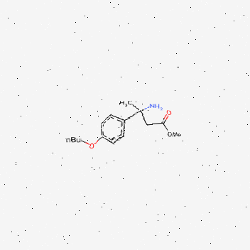 CCCCOc1ccc(C(C)(N)CC(=O)OC)cc1